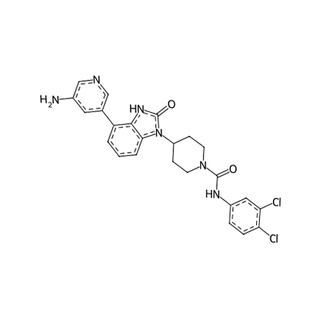 Nc1cncc(-c2cccc3c2[nH]c(=O)n3C2CCN(C(=O)Nc3ccc(Cl)c(Cl)c3)CC2)c1